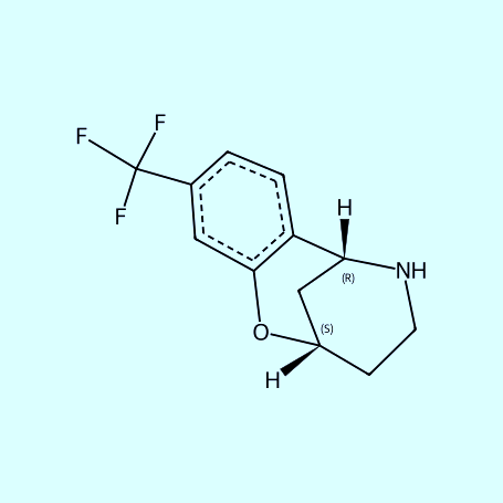 FC(F)(F)c1ccc2c(c1)O[C@H]1CCN[C@@H]2C1